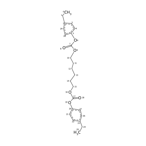 CCc1ccc(OC(=O)OCCCCCCOC(=O)Oc2ccc(CC)cc2)cc1